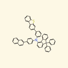 c1ccc(C2(c3ccccc3)c3ccccc3-c3c(N(c4ccc(-c5ccc6ccccc6c5)cc4)c4cccc(-c5ccc6c(c5)sc5ccccc56)c4)cccc32)cc1